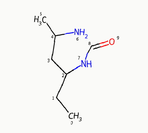 CCC(CC(C)N)NC=O